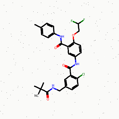 Cc1ccc(NC(=O)c2cc(NC(=O)c3cc(CNC(=O)C(C)(C)C#N)ccc3Cl)ccc2OCC(F)F)cc1